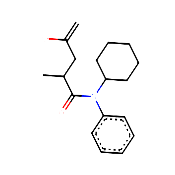 C=C(O)CC(C)C(=O)N(c1ccccc1)C1CCCCC1